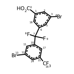 O=C(O)c1cc(Br)cc(C(F)(F)c2cc(Br)cc(C(F)(F)F)c2)c1